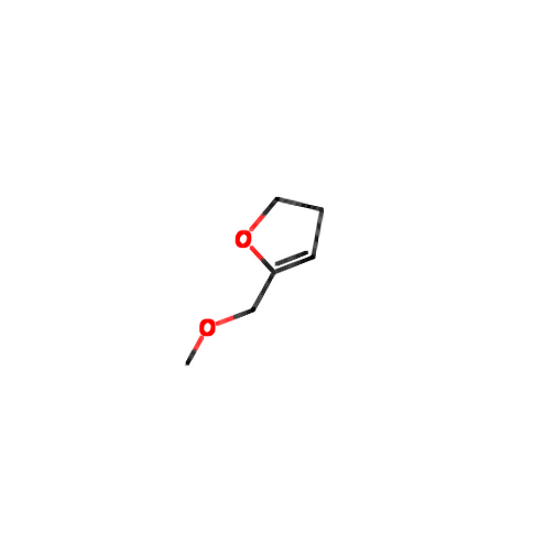 COCC1=CCCO1